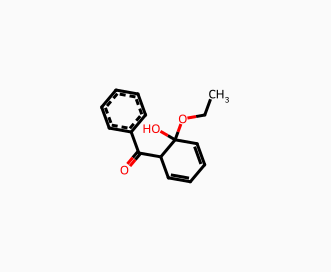 CCOC1(O)C=CC=CC1C(=O)c1ccccc1